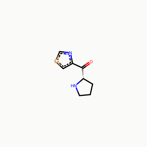 O=C(c1cs[c]n1)[C@@H]1CCCN1